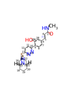 CNC(=O)/C=C/c1ccc(-c2ccc(S[C@H]3C[C@H]4CCC[C@@H](C3)N4)nn2)c(O)c1